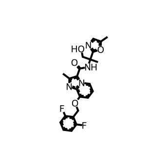 Cc1cnc(C(C)(CO)NC(=O)c2c(C)nc3c(OCc4c(F)cccc4F)cccn23)o1